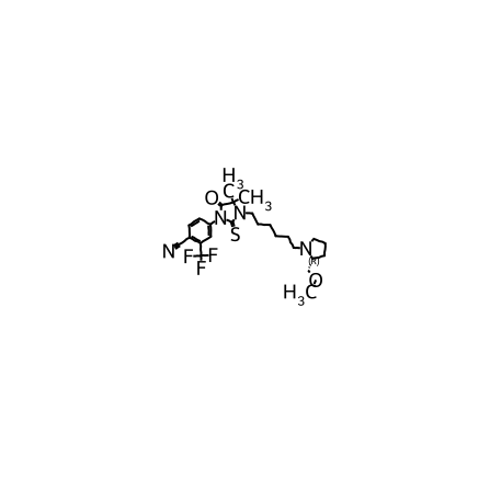 COC[C@H]1CCCN1CCCCCCN1C(=S)N(c2ccc(C#N)c(C(F)(F)F)c2)C(=O)C1(C)C